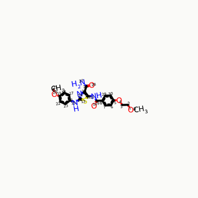 COCCOc1ccc(C(=O)Nc2sc(Nc3ccc(OC)cc3)nc2C(N)=O)cc1